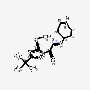 C/N=c1/sc(C(C)(C)C)nn1C(=O)/C=N/C1CCNCC1